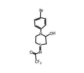 O=C(N=S1CCN(c2ccc(Br)cc2)C(O)C1)C(F)(F)F